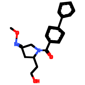 CON=C1CC(CCO)N(C(=O)c2ccc(-c3ccccc3)cc2)C1